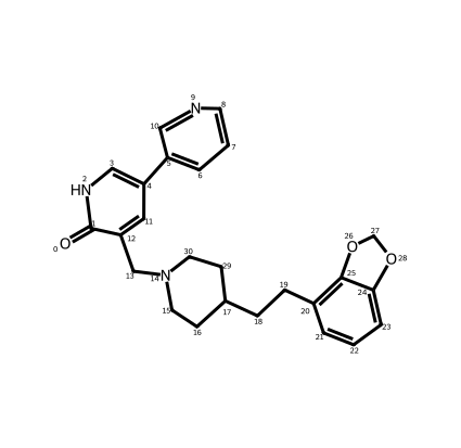 O=c1[nH]cc(-c2cccnc2)cc1CN1CCC(CCc2cccc3c2OCO3)CC1